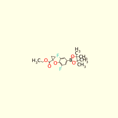 CCOC(=O)C1(Oc2c(F)cc(B3OC(C)(C)C(C)(C)O3)cc2F)CC1